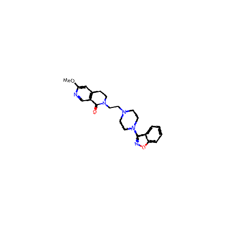 COc1cc2c(cn1)C(=O)N(CCN1CCN(c3noc4ccccc34)CC1)CC2